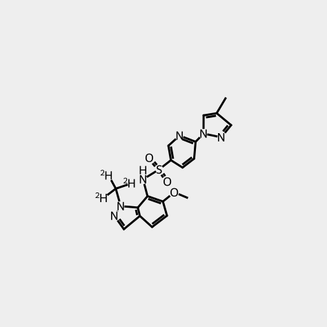 [2H]C([2H])([2H])n1ncc2ccc(OC)c(NS(=O)(=O)c3ccc(-n4cc(C)cn4)nc3)c21